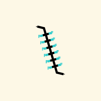 [CH2]CC(F)(F)C(F)(F)C(F)(F)C(F)(F)C(F)(F)C(F)(F)C[CH2]